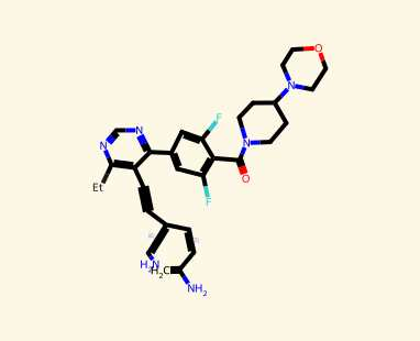 C=C(N)/C=C\C(C#Cc1c(CC)ncnc1-c1cc(F)c(C(=O)N2CCC(N3CCOCC3)CC2)c(F)c1)=C/N